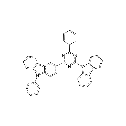 C1=CCC(c2nc(-c3ccc4c(c3)c3ccccc3n4-c3ccccc3)nc(-n3c4ccccc4c4ccccc43)n2)C=C1